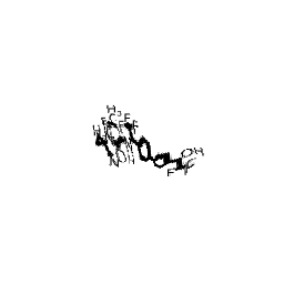 CC(C)(F)C[C@H](NC(c1ccc(-c2ccc(C(O)C(F)F)cc2)cc1)C(F)(F)F)C(=O)NC1(C#N)CC1